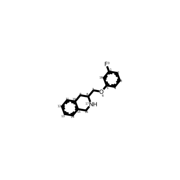 Fc1cccc(OCC2Cc3ccccc3CN2)c1